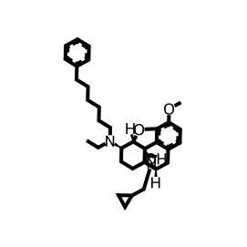 CCN(CCCCCCc1ccccc1)[C@@H]1CC[C@@]2(O)[C@H]3Cc4ccc(OC)c5c4[C@@]2(CCN3CC2CC2)[C@H]1O5